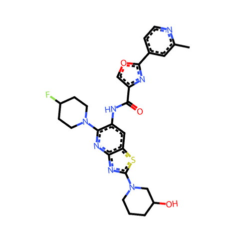 Cc1cc(-c2nc(C(=O)Nc3cc4sc(N5CCCC(O)C5)nc4nc3N3CCC(F)CC3)co2)ccn1